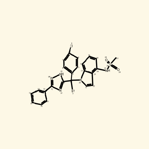 CCC(c1ccc(Cl)cc1)(c1nc(-c2ccccc2)n[nH]1)n1ccc2c(NS(C)(=O)=O)cccc21